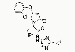 CC(C)C[C@@H](C(=O)Nc1nc(C2CC2)ns1)N1CC(Oc2ccccc2Cl)=CC1=O